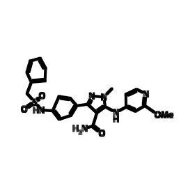 COc1cc(Nc2c(C(N)=O)c(-c3ccc(NS(=O)(=O)Cc4ccccc4)cc3)nn2C)ccn1